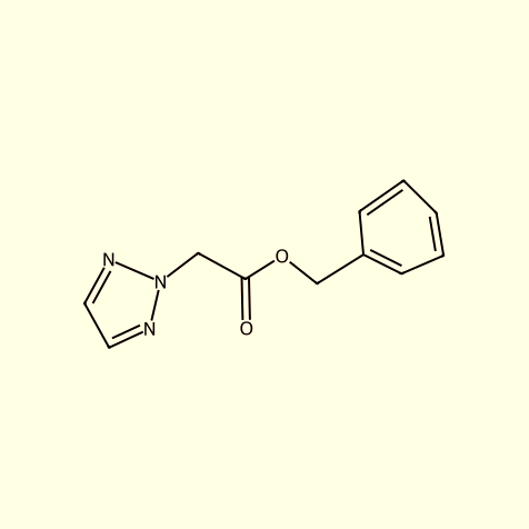 O=C(Cn1nccn1)OCc1ccccc1